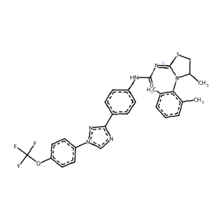 Cc1cccc(C)c1N1/C(=N\C(=O)Nc2ccc(-c3ncn(-c4ccc(OC(F)(F)F)cc4)n3)cc2)SCC1C